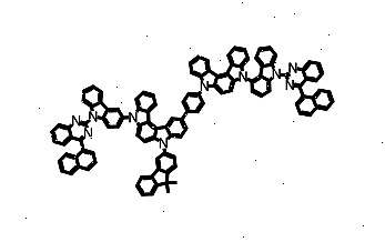 CC1(C)c2ccccc2-c2cc(-n3c4ccc(-c5ccc(-n6c7ccccc7c7c8c9ccccc9n(-c9cccc%10c9c9ccccc9n%10-c9nc(-c%10cccc%11ccccc%10%11)c%10ccccc%10n9)c8ccc76)cc5)cc4c4c5c6ccccc6n(-c6ccc7c(c6)c6ccccc6n7-c6nc(-c7cccc8ccccc78)c7ccccc7n6)c5ccc43)ccc21